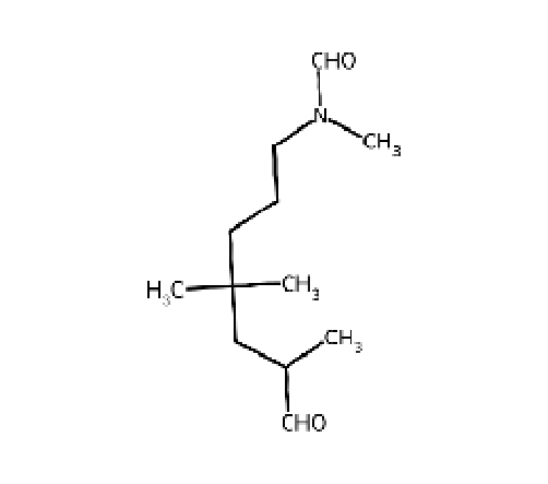 CC(C=O)CC(C)(C)CCCN(C)C=O